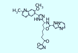 COc1cc2nc(C)ccc2cc1-c1cnc(C(CCCCCC(=O)c2ncco2)NC(=O)c2cc3ncccn3n2)[nH]1